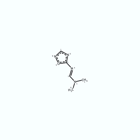 CN(C)C=Nc1n[c]no1